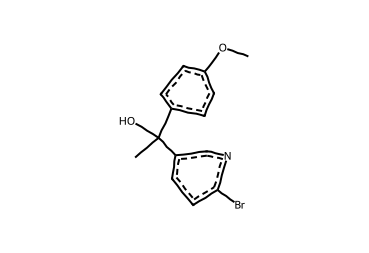 COc1ccc(C(C)(O)c2ccc(Br)nc2)cc1